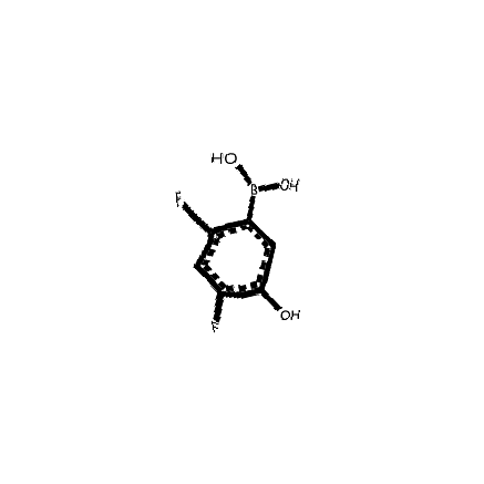 OB(O)c1cc(O)c(F)cc1F